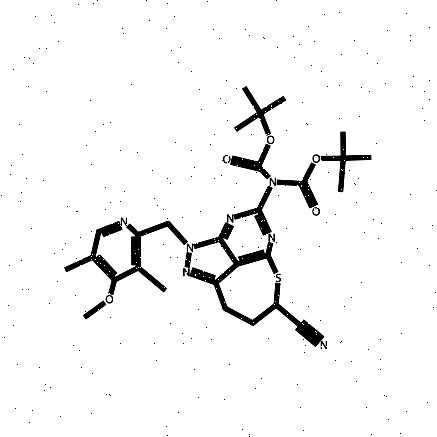 COc1c(C)cnc(Cn2nc3c4c(nc(N(C(=O)OC(C)(C)C)C(=O)OC(C)(C)C)nc42)SC(C#N)CC3)c1C